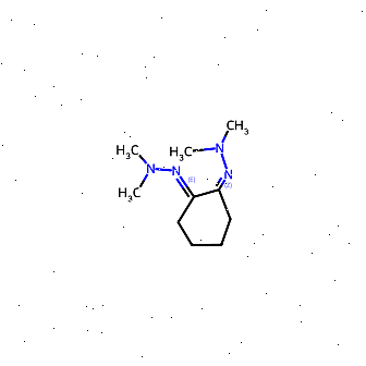 CN(C)/N=C1/CCCC/C1=N\N(C)C